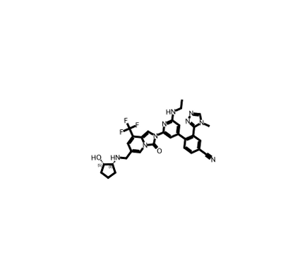 CCNc1cc(-c2ccc(C#N)cc2-c2nncn2C)cc(-n2cc3c(C(F)(F)F)cc(CN[C@@H]4CCC[C@@H]4O)cn3c2=O)n1